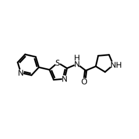 O=C(Nc1ncc(-c2cccnc2)s1)C1CCNC1